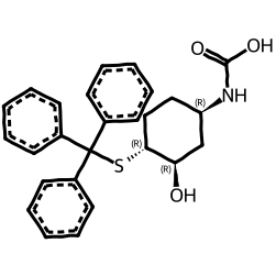 O=C(O)N[C@@H]1CC[C@@H](SC(c2ccccc2)(c2ccccc2)c2ccccc2)[C@H](O)C1